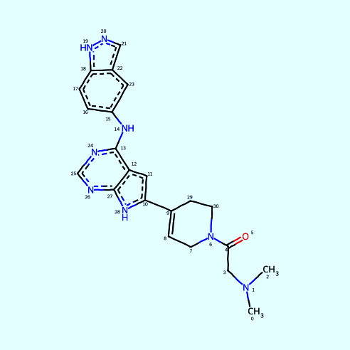 CN(C)CC(=O)N1CC=C(c2cc3c(Nc4ccc5[nH]ncc5c4)ncnc3[nH]2)CC1